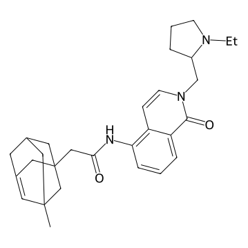 CCN1CCCC1Cn1ccc2c(NC(=O)CC34CC5=CC(C)(CC(C5)C3)C4)cccc2c1=O